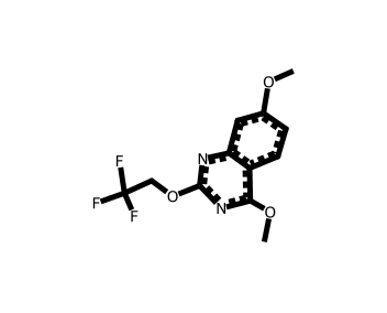 COc1ccc2c(OC)nc(OCC(F)(F)F)nc2c1